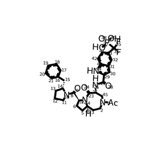 CC(=O)N1CC[C@H]2CC[C@@H](C(=O)N3CCC[C@@H]3Cc3ccccc3)N2C(=O)[C@@H](NC(=O)c2cc3cc(C(F)(F)P(=O)(O)O)ccc3[nH]2)C1